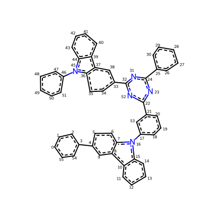 c1ccc(-c2ccc3c(c2)c2ccccc2n3-c2cccc(-c3nc(-c4ccccc4)nc(-c4ccc5c(c4)c4ccccc4n5-c4ccccc4)n3)c2)cc1